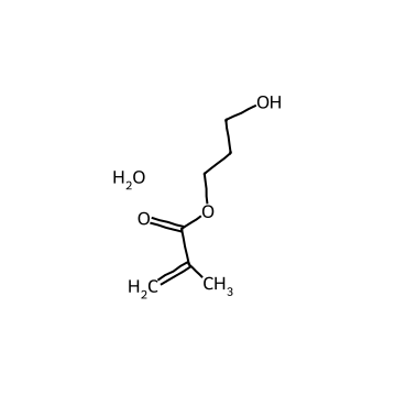 C=C(C)C(=O)OCCCO.O